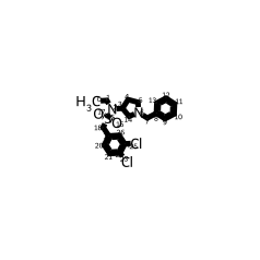 CCN(C1CCN(Cc2ccccc2)C1)S(=O)(=O)Cc1ccc(Cl)c(Cl)c1